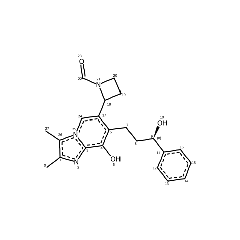 Cc1nc2c(O)c(CC[C@@H](O)c3ccccc3)c(C3CCN3C=O)cn2c1C